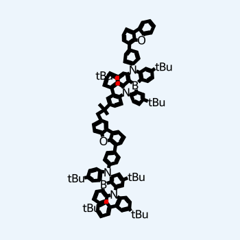 CC(C)(C)c1ccc2c(c1)B1c3ccc(C(C)(C)C)cc3N(c3ccc(C(C)(C)C)cc3-c3ccccc3)c3cc(C(C)(C)C)cc(c31)N2c1ccc(-c2cccc3c2oc2ccc(CC(C)(C)c4ccc(N5c6ccc(C(C)(C)C)cc6B6c7ccc(C(C)(C)C)cc7N(c7ccc(-c8cccc9c8oc8ccccc89)cc7)c7cc(C(C)(C)C)cc5c76)c(-c5ccccc5)c4)cc23)cc1